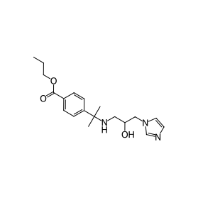 CCCOC(=O)c1ccc(C(C)(C)NCC(O)Cn2ccnc2)cc1